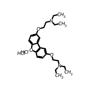 CCN(CC)CCOc1ccc2oc3ccc(OCCN(CC)CC)cc3c2c1.Cl.Cl